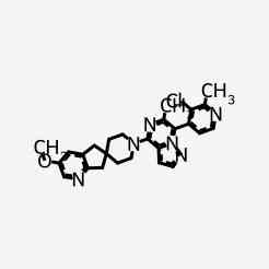 COc1cnc2c(c1)CC1(CCN(c3nc(C)c(-c4ccnc(C)c4Cl)n4nccc34)CC1)C2